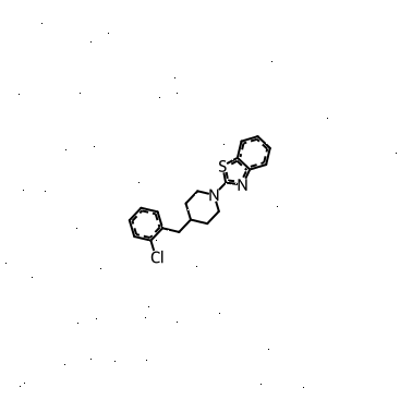 Clc1ccccc1CC1CCN(c2nc3ccccc3s2)CC1